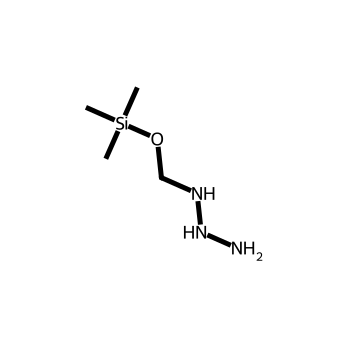 C[Si](C)(C)OCNNN